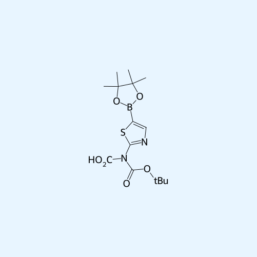 CC(C)(C)OC(=O)N(C(=O)O)c1ncc(B2OC(C)(C)C(C)(C)O2)s1